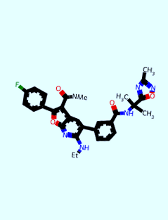 CCNc1nc2oc(-c3ccc(F)cc3)c(C(=O)NC)c2cc1-c1cccc(C(=O)NC(C)(C)c2nc(C)no2)c1